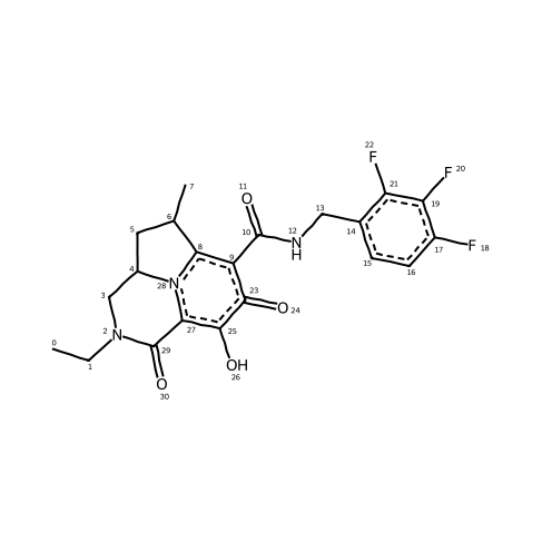 CCN1CC2CC(C)c3c(C(=O)NCc4ccc(F)c(F)c4F)c(=O)c(O)c(n32)C1=O